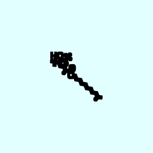 CC(C)CCCCCCCCCOC(=O)C(C)c1cc(C(C)(C)C)c(O)c(C(C)(C)C)c1